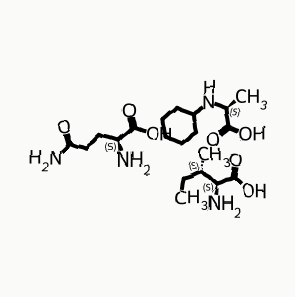 CC[C@H](C)[C@H](N)C(=O)O.C[C@H](NC1CCCCC1)C(=O)O.NC(=O)CC[C@H](N)C(=O)O